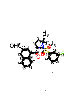 CC1(C)CC[C@@H](C(=O)C2[C]=C(C=O)Cc3ccccc32)N1S(=O)(=O)c1cccc(F)c1